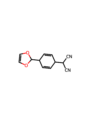 N#CC(C#N)C1C=CC(C2OC=CO2)C=C1